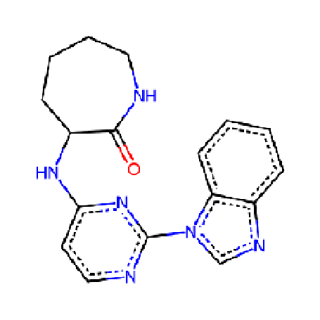 O=C1NCCCCC1Nc1ccnc(-n2cnc3ccccc32)n1